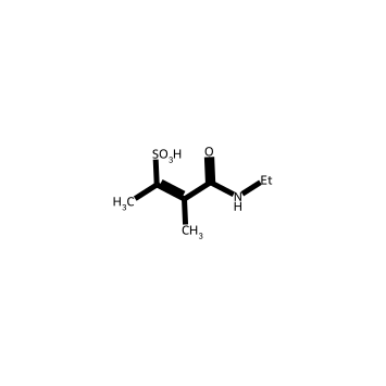 CCNC(=O)/C(C)=C(/C)S(=O)(=O)O